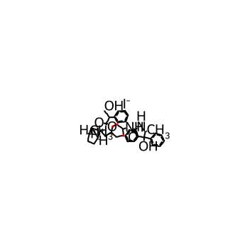 C[C@H](NC(=O)NC1CCC(CC[N+]2(C)[C@@H]3CC[C@H]2CC(OC(=O)C(CO)c2ccccc2)C3)CC1)C(O)(c1ccccc1)c1ccccc1.[I-]